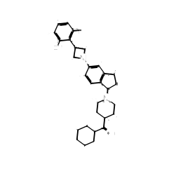 O=C(C1CCCCC1)C1CCN(C2CCc3cc(N4CC(c5c(F)cccc5F)C4)ccc32)CC1